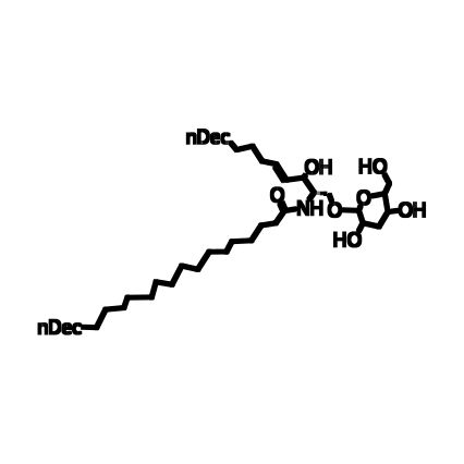 CCCCCCCCCCCCC/C=C/C(O)[C@H](COC1OC(CO)C(O)CC1O)NC(=O)CCCCCCCCCCCCCCCCCCCCCCCCC